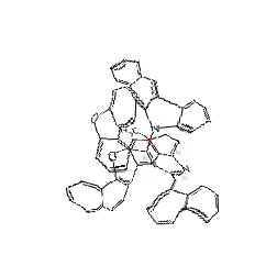 CC1C/C=C(c2cc3c(cc2-n2c4ccccc4c4cc5ccccc5cc42)oc2c4ccccc4ccc32)/N=C(c2cccc3ccccc23)\N=C/1c1cccc2oc3ccccc3c12